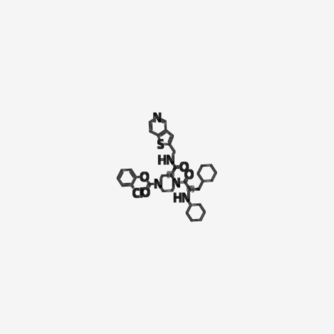 O=C(NCc1cc2cnccc2s1)[C@@H]1CN(C(=O)Oc2ccccc2Cl)CCN1C(=O)[C@@H](CC1CCCCC1)NC1CCCCC1